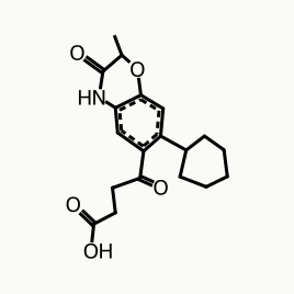 CC1Oc2cc(C3CCCCC3)c(C(=O)CCC(=O)O)cc2NC1=O